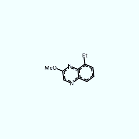 CCc1cccc2ncc(OC)nc12